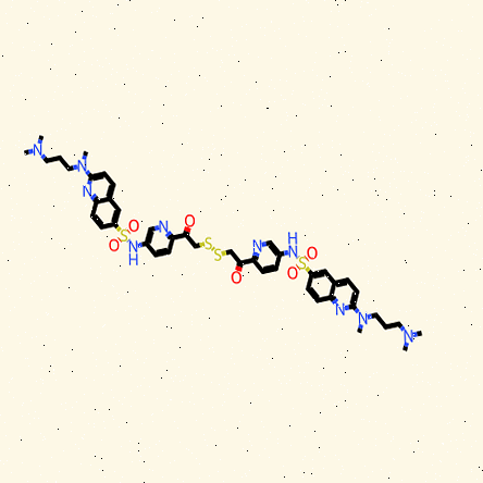 CN(C)CCCN(C)c1ccc2cc(S(=O)(=O)Nc3ccc(C(=O)CSSCC(=O)c4ccc(NS(=O)(=O)c5ccc6nc(N(C)CCCN(C)C)ccc6c5)cn4)nc3)ccc2n1